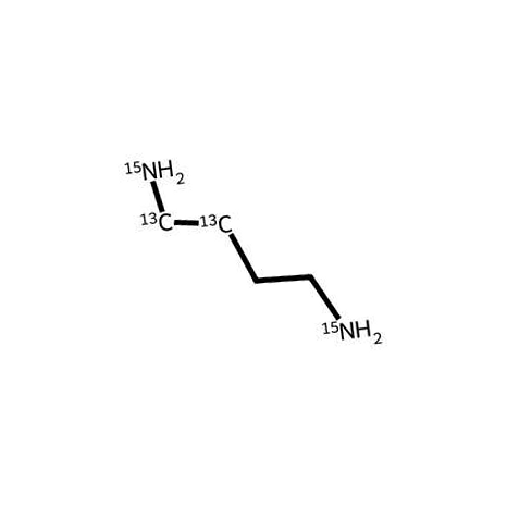 [15NH2]CC[13CH2][13CH2][15NH2]